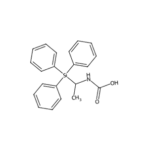 CC(NC(=O)O)[Si](c1ccccc1)(c1ccccc1)c1ccccc1